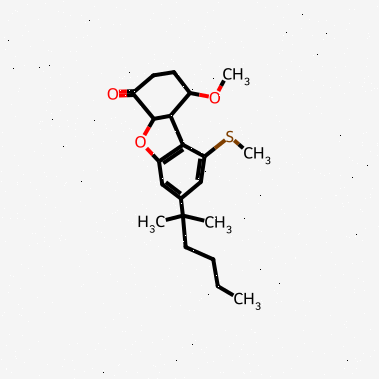 CCCCC(C)(C)c1cc2c(c(SC)c1)C1C(OC)CCC(=O)C1O2